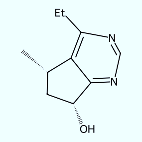 CCc1ncnc2c1[C@@H](C)C[C@H]2O